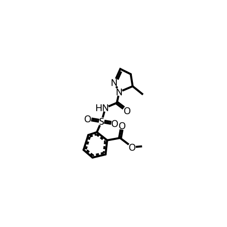 COC(=O)c1ccccc1S(=O)(=O)NC(=O)N1N=CCC1C